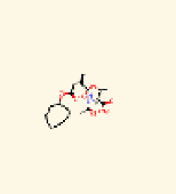 C=C(CC(=O)OC1CCCCCCC1)C(=O)O[C@@H](C)[C@@H](NC(C)=O)C(=O)O